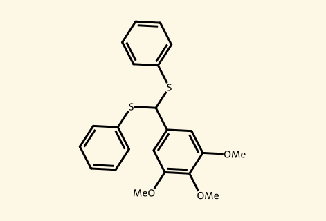 COc1cc(C(Sc2ccccc2)Sc2ccccc2)cc(OC)c1OC